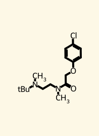 CN(CCN(C)C(C)(C)C)C(=O)COc1ccc(Cl)cc1